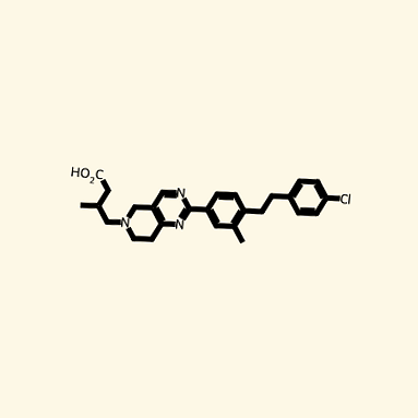 Cc1cc(-c2ncc3c(n2)CCN(CC(C)CC(=O)O)C3)ccc1CCc1ccc(Cl)cc1